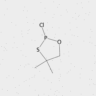 CC1(C)COP(Cl)S1